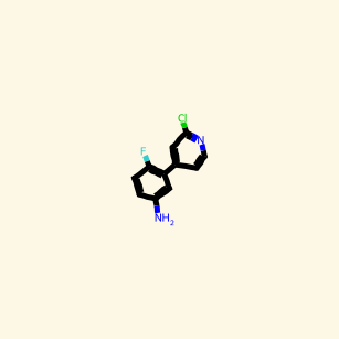 Nc1ccc(F)c(-c2ccnc(Cl)c2)c1